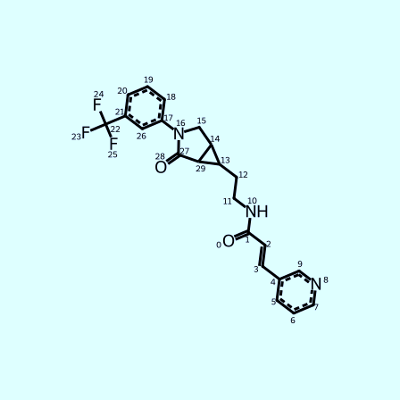 O=C(/C=C/c1cccnc1)NCCC1C2CN(c3cccc(C(F)(F)F)c3)C(=O)C12